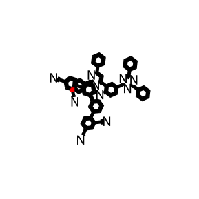 N#Cc1ccc(-c2ccc3c(c2)c2cc(-c4ccc(C#N)cc4C#N)ccc2n3-c2ccc(-c3nc(-c4ccccc4)nc(-c4ccccc4)n3)cc2-c2cc(-c3ccccc3)nc(-c3ccccc3)n2)c(C#N)c1